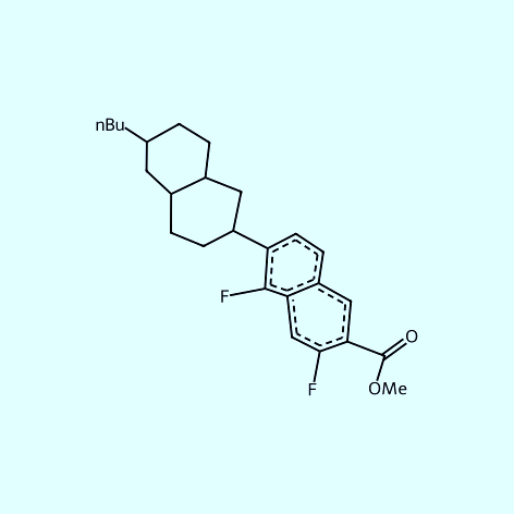 CCCCC1CCC2CC(c3ccc4cc(C(=O)OC)c(F)cc4c3F)CCC2C1